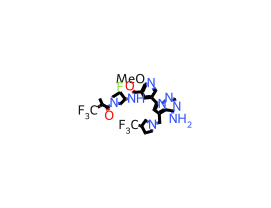 COc1ncc(-c2cc(CN3CCC(C(F)(F)F)C3)c3c(N)ncnn23)cc1C(=O)NC1CN(C(=O)C(C)C(F)(F)F)CC1F